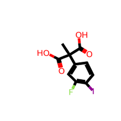 CC(C(=O)O)(C(=O)O)c1ccc(I)c(F)c1